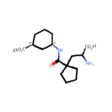 CCOC(=O)[C@H]1CCC[C@@H](NC(=O)C2(CC(N)C(=O)O)CCCC2)C1